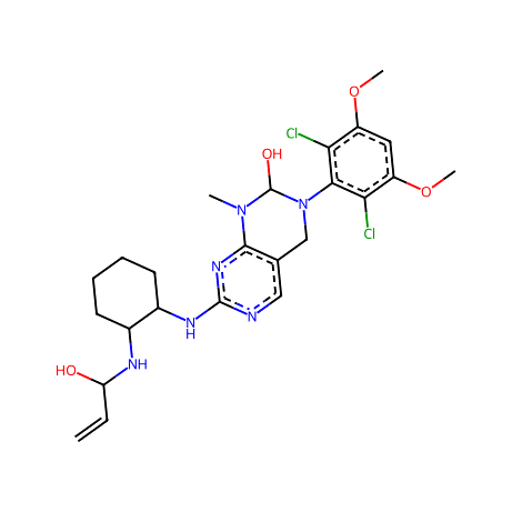 C=CC(O)NC1CCCCC1Nc1ncc2c(n1)N(C)C(O)N(c1c(Cl)c(OC)cc(OC)c1Cl)C2